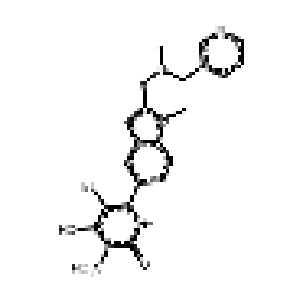 CCc1c(-c2ccc3c(c2)cc(CN(C)Cc2cccnc2)n3C)[nH]c(=O)c(C(=O)O)c1O